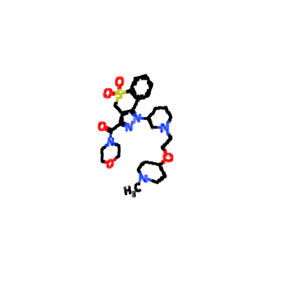 CN1CCC(OCCN2CCCC(n3nc(C(=O)N4CCOCC4)c4c3-c3ccccc3S(=O)(=O)C4)C2)CC1